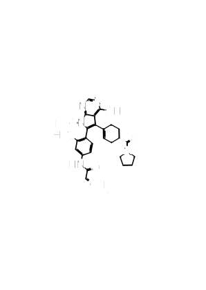 C=CC(=O)Nc1ccc(-c2c(C3=CC[C@H](C(=O)N4CCCC4)CC3)c3c(C)ncnc3n2C)c(C)c1